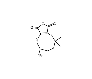 CCCC1CCC(C)(C)SC2=C(SC1)C(=O)OC2=O